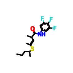 CCCC(C)S/C(C)=C/C(C)C(=O)Nc1cc(F)c(F)c(F)c1